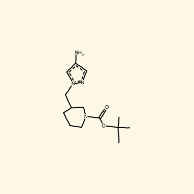 CC(C)(C)OC(=O)N1CCCC(Cn2cc(N)cn2)C1